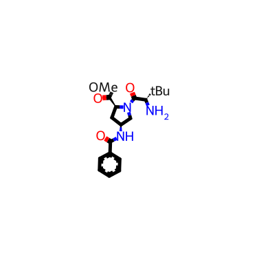 COC(=O)[C@@H]1C[C@H](NC(=O)c2ccccc2)CN1C(=O)[C@@H](N)C(C)(C)C